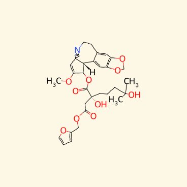 COC1=CC23CCCN2CCc2cc4c(cc2[C@@H]3C1OC(=O)[C@@](O)(CCCC(C)(C)O)CC(=O)OCc1ccco1)OCO4